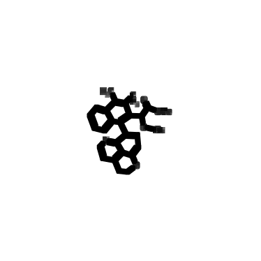 COC(=O)C(OC(C)(C)C)c1c(C)c(C)c2ccccc2c1-c1ccc2c3c(ccnc13)CCO2